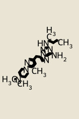 CCC[C@H](C)Nc1nc(N)c2ncc(Cc3cnc(N4CCC(N(C)C)CC4)c(C)c3)n2n1